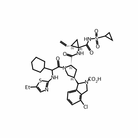 C=C[C@@H]1C[C@]1(NC(=O)[C@@H]1C[C@@H](C2c3cccc(Cl)c3CN2C(=O)O)CN1C(=O)C(Nc1ncc(CC)s1)C1CCCCC1)C(=O)NS(=O)(=O)C1CC1